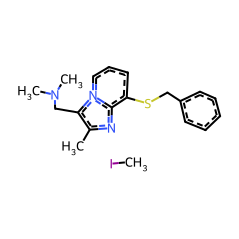 CI.Cc1nc2c(SCc3ccccc3)cccn2c1CN(C)C